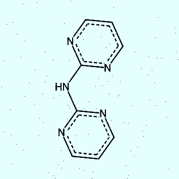 c1cnc(Nc2ncccn2)nc1